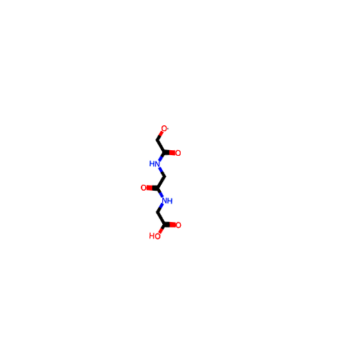 [O]CC(=O)NCC(=O)NCC(=O)O